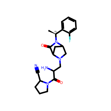 C[C@@H](c1ccccc1F)N1C(=O)C2CC1CN2CC(N)C(=O)N1CCCC1C#N